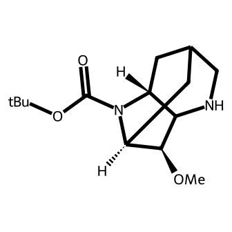 CO[C@@H]1C2NCC3C[C@H]2N(C(=O)OC(C)(C)C)[C@H]1C3